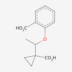 CC(Oc1ccccc1C(=O)O)C1(C(=O)O)CC1